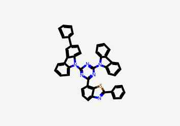 c1ccc(-c2ccc3c(c2)c2ccccc2n3-c2nc(-c3cccc4nc(-c5ccccc5)sc34)nc(-n3c4ccccc4c4ccccc43)n2)cc1